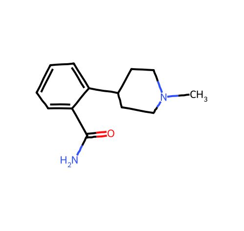 CN1CCC(c2ccccc2C(N)=O)CC1